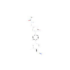 CC1CN(c2ccc(N3CC(CNC(=O)C(F)(F)F)OC3=O)cc2F)CCC1=CC#N